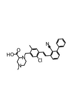 Cc1cc(/C=C/c2cccc(-c3ccccc3)c2C#N)c(Cl)cc1CN1CCN(C)CC1C(=O)O